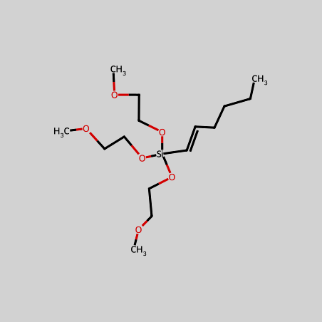 CCCCC=C[Si](OCCOC)(OCCOC)OCCOC